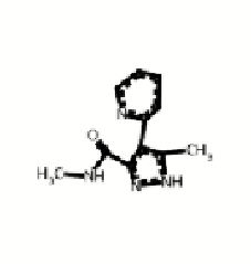 CNC(=O)c1n[nH]c(C)c1-c1ccccn1